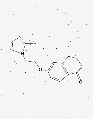 Cc1nccn1CCOc1ccc2c(c1)CCCC2=O